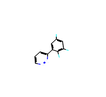 Fc1cc(F)c(F)c(-c2cccnn2)c1